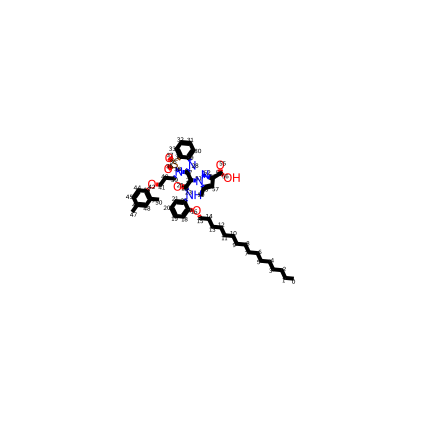 CCCCCCCCCCCCCCCCOc1ccccc1NC(=O)C(C1=Nc2ccccc2S(=O)(=O)N1CCCOc1ccc(C)cc1C)n1nc(C(=O)O)cc1C